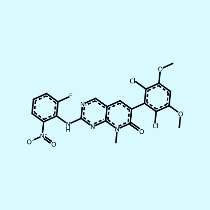 COc1cc(OC)c(Cl)c(-c2cc3cnc(Nc4c(F)cccc4[N+](=O)[O-])nc3n(C)c2=O)c1Cl